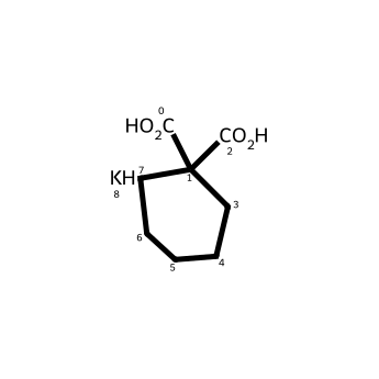 O=C(O)C1(C(=O)O)CCCCC1.[KH]